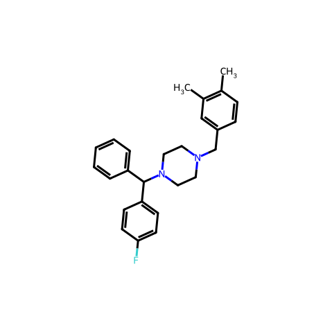 Cc1ccc(CN2CCN(C(c3ccccc3)c3ccc(F)cc3)CC2)cc1C